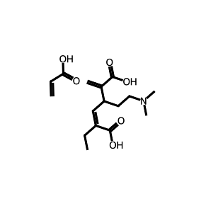 C=C(C(=O)O)C(C=C(CC)C(=O)O)CCN(C)C.C=CC(=O)O